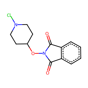 O=C1c2ccccc2C(=O)N1OC1CCN(Cl)CC1